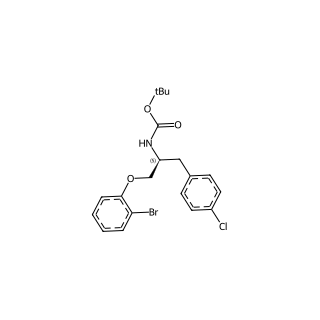 CC(C)(C)OC(=O)N[C@H](COc1ccccc1Br)Cc1ccc(Cl)cc1